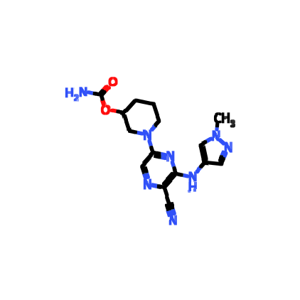 Cn1cc(Nc2nc(N3CCCC(OC(N)=O)C3)cnc2C#N)cn1